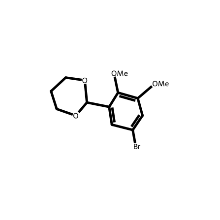 COc1cc(Br)cc(C2OCCCO2)c1OC